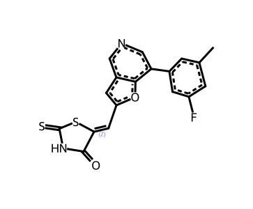 Cc1cc(F)cc(-c2cncc3cc(/C=C4\SC(=S)NC4=O)oc23)c1